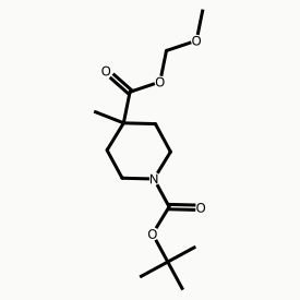 COCOC(=O)C1(C)CCN(C(=O)OC(C)(C)C)CC1